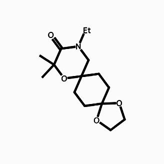 CCN1CC2(CCC3(CC2)OCCO3)OC(C)(C)C1=O